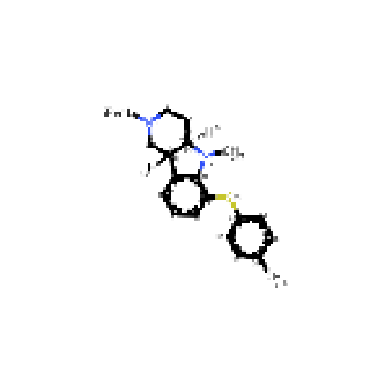 CCCC(C)N1CC[C@@H]2[C@@H](C1)c1cccc(Sc3ccc(C)cc3)c1N2C